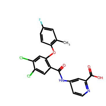 Cc1cc(F)ccc1Oc1cc(Cl)c(Cl)cc1C(=O)Nc1ccnc(C(=O)O)c1